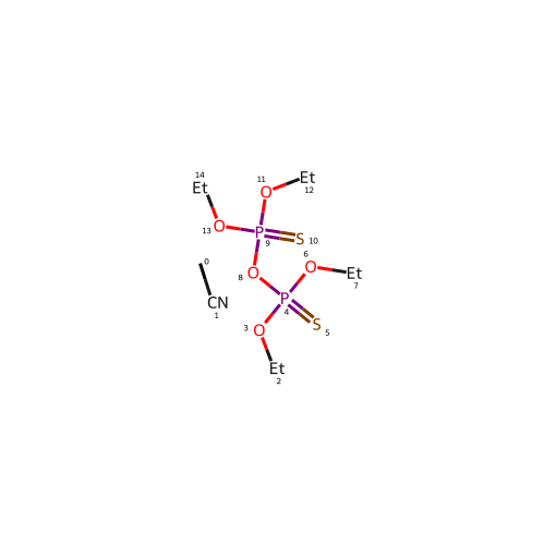 CC#N.CCOP(=S)(OCC)OP(=S)(OCC)OCC